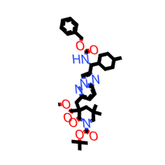 COC(=O)C1(Cc2ccc3nc([C@@H](NC(=O)OCc4ccccc4)C4CCC(C)CC4)cn3n2)CC(C)(C)CN(C(=O)OC(C)(C)C)C1=O